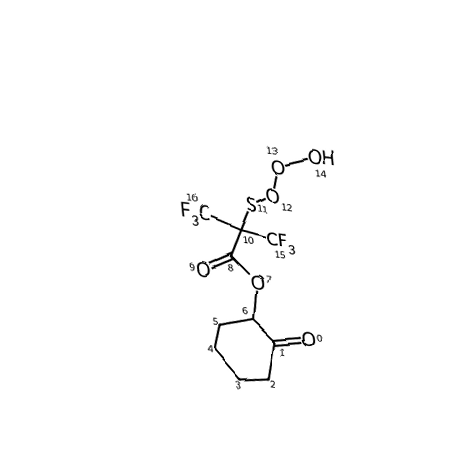 O=C1CCCCC1OC(=O)C(SOOO)(C(F)(F)F)C(F)(F)F